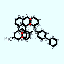 CC1CC2CC3CC(c4cccc5cccc(-c6ccccc6N(c6ccccc6)c6ccc(-c7ccccc7)cc6)c45)(C1)C23